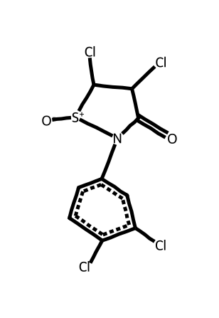 O=C1C(Cl)C(Cl)[S+]([O-])N1c1ccc(Cl)c(Cl)c1